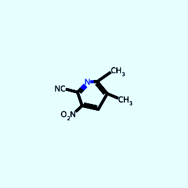 Cc1cc([N+](=O)[O-])c(C#N)nc1C